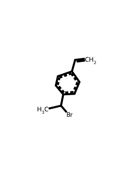 C=Cc1ccc(C(C)Br)cc1